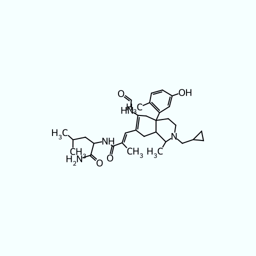 C/C(=C\C1=C(NC=O)CC2(c3cc(O)ccc3C)CCN(CC3CC3)C(C)C2C1)C(=O)NC(CC(C)C)C(N)=O